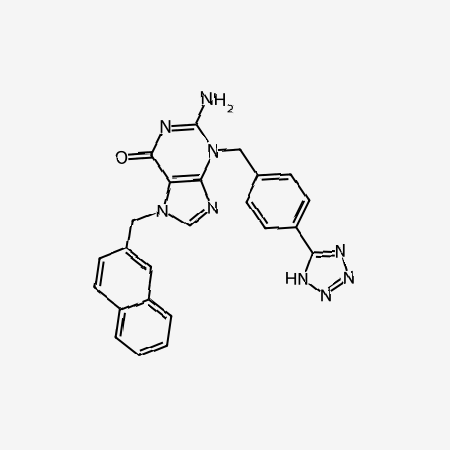 Nc1nc(=O)c2c(ncn2Cc2ccc3ccccc3c2)n1Cc1ccc(-c2nnn[nH]2)cc1